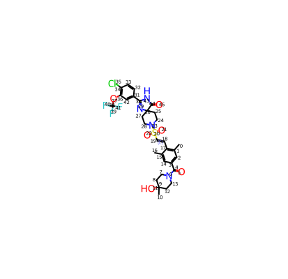 Cc1cc(C(=O)N2CCC(C)(O)CC2)cc(C)c1/C=C/S(=O)(=O)N1CCC2(CC1)N=C(c1ccc(Cl)c(OC(F)(F)F)c1)NC2=O